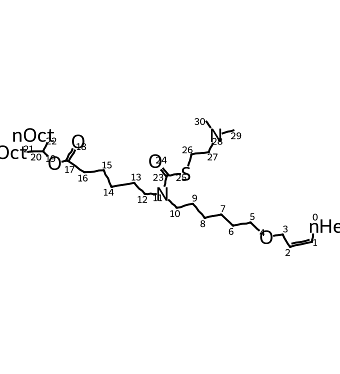 CCCCCC/C=C\COCCCCCCN(CCCCCC(=O)OC(CCCCCCCC)CCCCCCCC)C(=O)SCCN(C)C